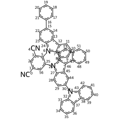 N#Cc1cc(C#N)c(-n2c3ccccc3c3cc(-c4ccccc4)ccc32)c(-n2c3ccc(-n4c5ccccc5c5ccccc54)cc3c3c4ccccc4ccc32)c1